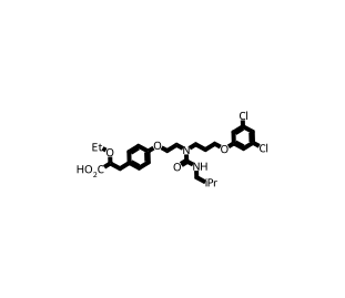 CCOC(Cc1ccc(OCCN(CCCOc2cc(Cl)cc(Cl)c2)C(=O)NCC(C)C)cc1)C(=O)O